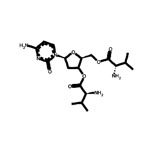 CC(C)[C@H](N)C(=O)OC[C@@H]1O[C@H](n2ccc(N)nc2=O)CC1OC(=O)[C@@H](N)C(C)C